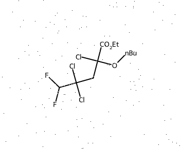 CCCCOC(Cl)(CC(Cl)(Cl)C(F)F)C(=O)OCC